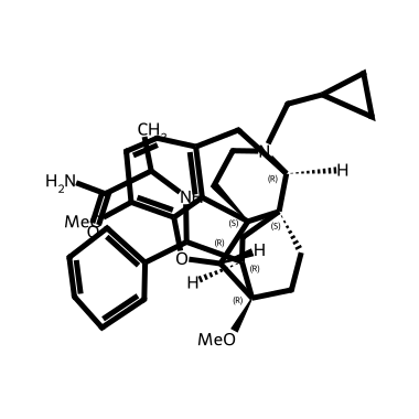 COc1ccc2c3c1O[C@H]1[C@@]4(OC)CC[C@@]5(C[C@@H]4C(NC(C)C(N)=O)c4ccccc4)[C@@H](C2)N(CC2CC2)CC[C@]315